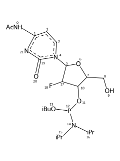 CC(=O)Nc1ccn(C2OC(CO)C(OP(OCC(C)C)N(C(C)C)C(C)C)C2F)c(=O)n1